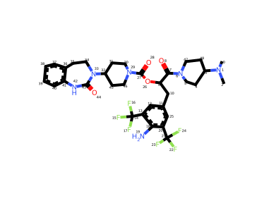 CN(C)C1CCN(C(=O)C(Cc2cc(C(F)(F)F)c(N)c(C(F)(F)F)c2)OC(=O)N2CCC(N3CCc4ccccc4NC3=O)CC2)CC1